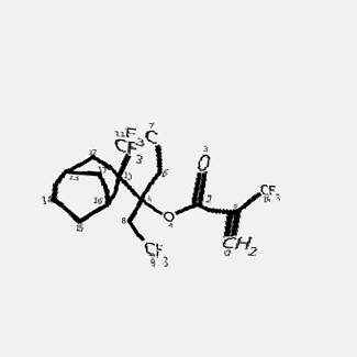 C=C(C(=O)OC(CC(F)(F)F)(CC(F)(F)F)C1(C(F)(F)F)CC2CCC1C2)C(F)(F)F